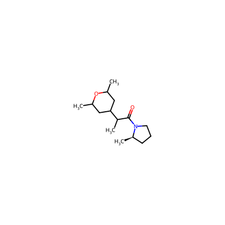 CC1CC(C(C)C(=O)N2CCC[C@H]2C)CC(C)O1